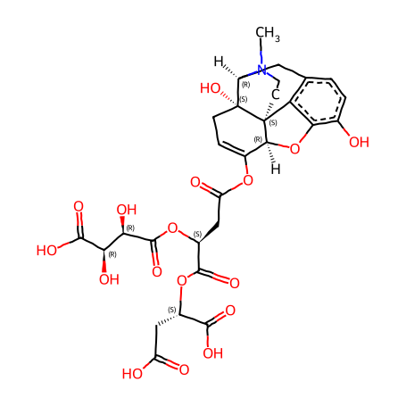 CN1CC[C@]23c4c5ccc(O)c4O[C@H]2C(OC(=O)C[C@H](OC(=O)[C@H](O)[C@@H](O)C(=O)O)C(=O)O[C@@H](CC(=O)O)C(=O)O)=CC[C@@]3(O)[C@H]1C5